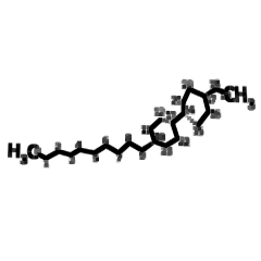 CCCCCCCCCC[C@H]1CC[C@H]([C@H]2CC[C@H](CC)CC2)CC1